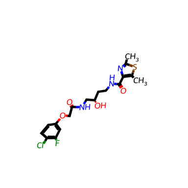 Cc1nc(C(=O)NCC[C@@H](O)CNC(=O)COc2ccc(Cl)c(F)c2)c(C)s1